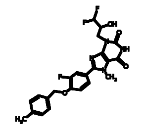 Cc1ccc(COc2ccc(-c3nc4c(c(=O)[nH]c(=O)n4CC(O)C(F)F)n3C)cc2F)cc1